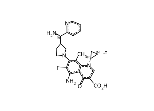 Cc1c(N2CCC([C@@H](N)c3ccccn3)C2)c(F)c(N)c2c(=O)c(C(=O)O)cn([C@@H]3C[C@@H]3F)c12